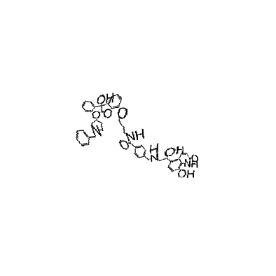 O=C(NCCCOc1cccc([C@](O)(C(=O)O[C@@H]2CCN(Cc3ccccc3)C2)c2ccccc2)c1)c1ccc(CNC[C@H](O)c2ccc(O)c3[nH]c(=O)ccc23)cc1